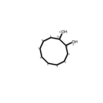 OC1CCCCCCCCC1O